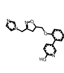 Oc1ccc(-c2ccccc2OCC2CC(Cn3ccnc3)=NO2)cn1